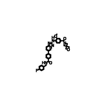 COc1cc(C(=O)N2CC3(COC3)C2)ccc1Nc1nc2ccc(-c3ccc(C(=O)NCc4ccc(F)cc4)cc3)cn2n1